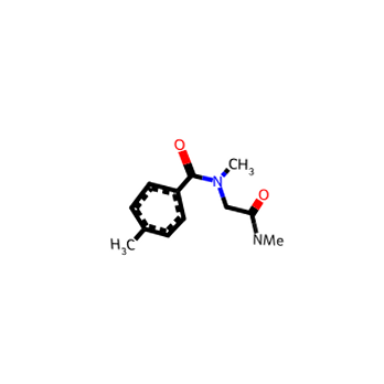 CNC(=O)CN(C)C(=O)c1ccc(C)cc1